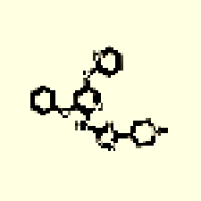 CN1CCC(c2nsc(Nc3ncc(Sc4ccccn4)cc3Oc3ccccc3)n2)CC1